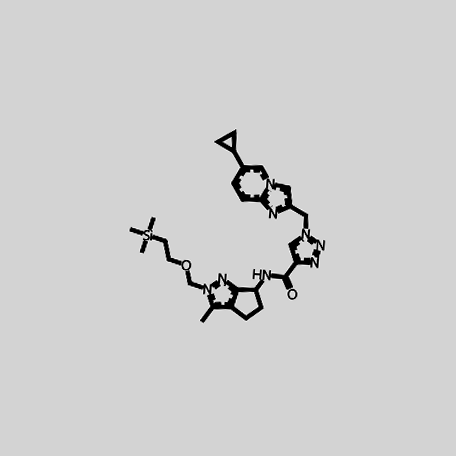 Cc1c2c(nn1COCC[Si](C)(C)C)C(NC(=O)c1cn(Cc3cn4cc(C5CC5)ccc4n3)nn1)CC2